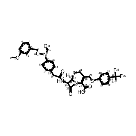 COc1cccc(CON(C=O)c2ccc(CC(=O)NC3C(=O)N4C(C(=O)O)=C(CSc5ccc(C(F)(F)F)cc5)CS[C@H]34)cc2)c1